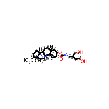 C[C@]12CC[C@H](OC(=O)NCC(CO)CCO)C[C@H]1CC[C@@H]1[C@@H]2CC[C@]2(C)[C@@H](C(=O)O)CC[C@]12N